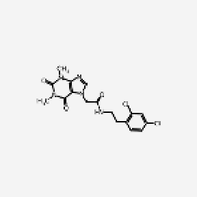 Cn1c(=O)c2c(ncn2CC(=O)NCCc2ccc(Cl)cc2Cl)n(C)c1=O